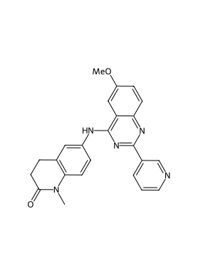 COc1ccc2nc(-c3cccnc3)nc(Nc3ccc4c(c3)CCC(=O)N4C)c2c1